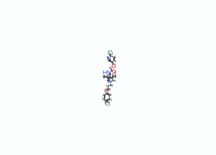 O=C(COc1ccc(Cl)nc1)N[C@@H]1[C@@H]2CN(CCCOc3ccc(Cl)cc3)C[C@@H]21